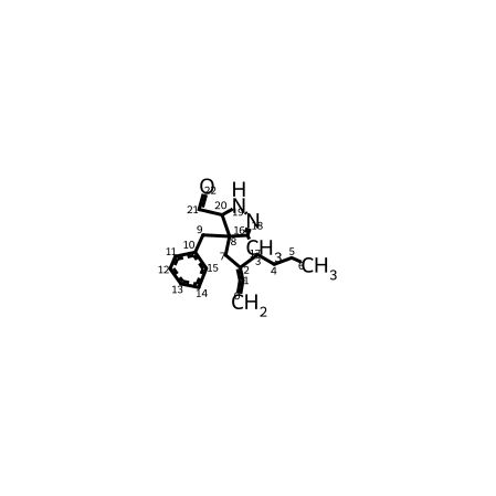 C=C=C(CCCC)CC1(Cc2ccccc2)C(C)=NNC1C=O